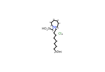 CCCCCCCCCCCCCCCCCC[N+]1(CC(=O)O)CCCCCC1.[Cl-]